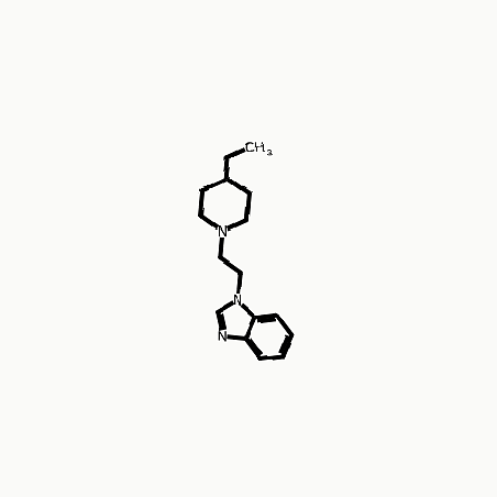 CCC1CCN(CCn2cnc3ccccc32)CC1